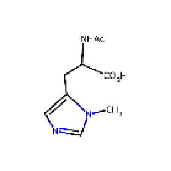 CC(=O)NC(Cc1cncn1C)C(=O)O